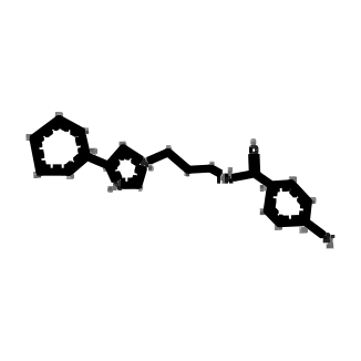 O=C(NCCCn1cnc(-c2ccccc2)c1)c1ccc(Br)cc1